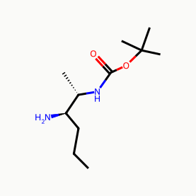 CCC[C@@H](N)[C@H](C)NC(=O)OC(C)(C)C